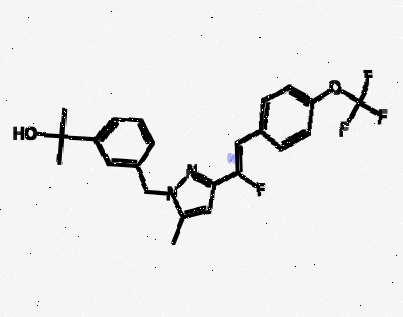 Cc1cc(/C(F)=C/c2ccc(OC(F)(F)F)cc2)nn1Cc1cccc(C(C)(C)O)c1